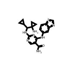 NC(=O)c1cnc(NC(C2CC2)C2(N)CC2)nc1Nc1ccc2scnc2c1